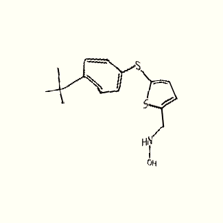 CC(C)(C)c1ccc(Sc2ccc(CNO)s2)cc1